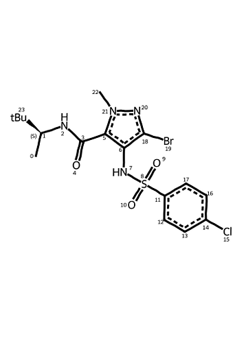 C[C@H](NC(=O)c1c(NS(=O)(=O)c2ccc(Cl)cc2)c(Br)nn1C)C(C)(C)C